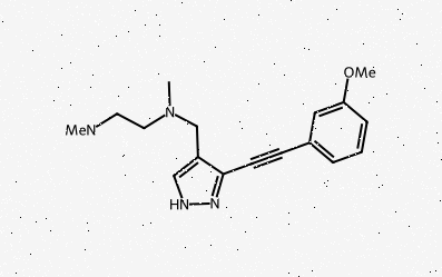 CNCCN(C)Cc1c[nH]nc1C#Cc1cccc(OC)c1